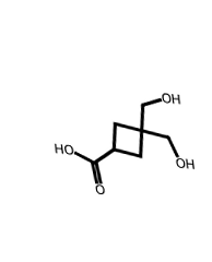 O=C(O)C1CC(CO)(CO)C1